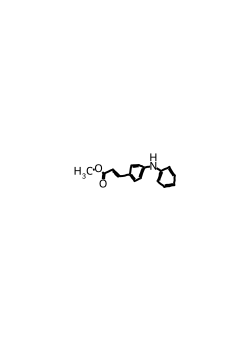 COC(=O)/C=C/c1ccc(Nc2ccccc2)cc1